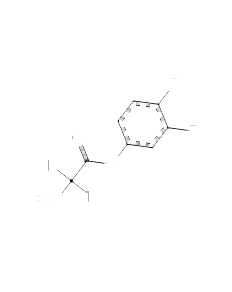 O=C(Oc1ccc(F)c(F)c1)C(F)(F)C(F)(F)F